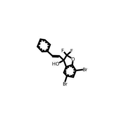 OC1(C=Cc2ccccc2)c2cc(Br)cc(Br)c2OC1(F)F